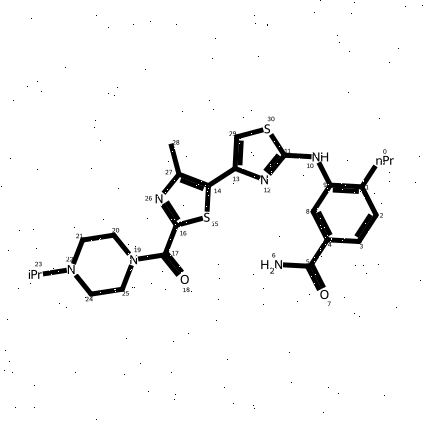 CCCc1ccc(C(N)=O)cc1Nc1nc(-c2sc(C(=O)N3CCN(C(C)C)CC3)nc2C)cs1